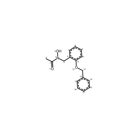 CC(=O)N(O)Cc1ccccc1OCc1ccccc1